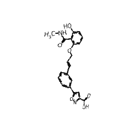 CNC(=O)c1c(O)cccc1OCC=Cc1cccc(-c2cc(C(=O)O)no2)c1